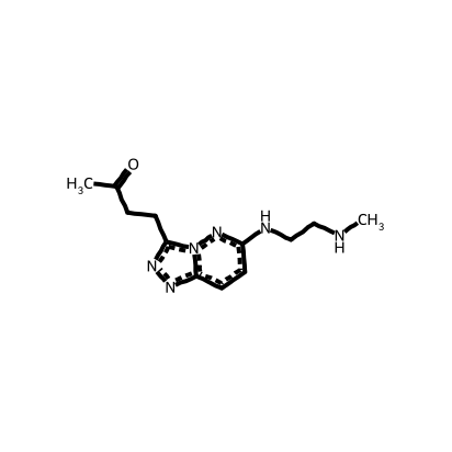 CNCCNc1ccc2nnc(CCC(C)=O)n2n1